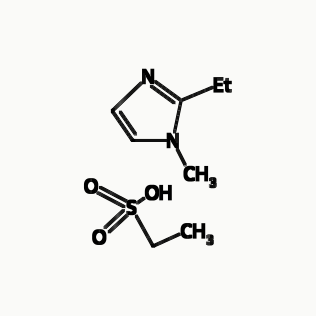 CCS(=O)(=O)O.CCc1nccn1C